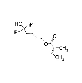 CC=C(C)C(=O)OCCCCC(O)(C(C)C)C(C)C